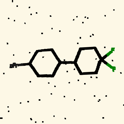 CCCC1CCC(C2CCC(F)(F)CC2)CC1